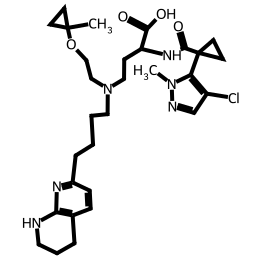 Cn1ncc(Cl)c1C1(C(=O)NC(CCN(CCCCc2ccc3c(n2)NCCC3)CCOC2(C)CC2)C(=O)O)CC1